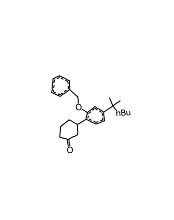 CCCCC(C)(C)c1ccc(C2CCCC(=O)C2)c(OCc2ccccc2)c1